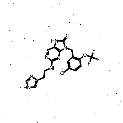 O=c1[nH]c2cnc(NCCc3c[nH]cn3)nc2n1Cc1cc(Cl)ccc1OC(F)(F)F